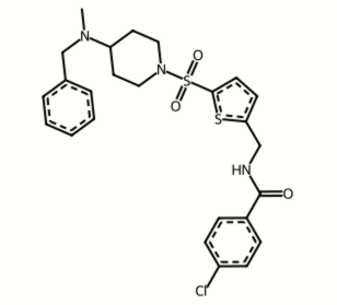 CN(Cc1ccccc1)C1CCN(S(=O)(=O)c2ccc(CNC(=O)c3ccc(Cl)cc3)s2)CC1